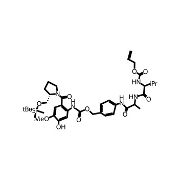 C=CCOC(=O)NC(C(=O)NC(C)C(=O)Nc1ccc(COC(=O)Nc2cc(O)c(OC)cc2C(=O)N2CCC[C@H]2CO[Si](C)(C)C(C)(C)C)cc1)C(C)C